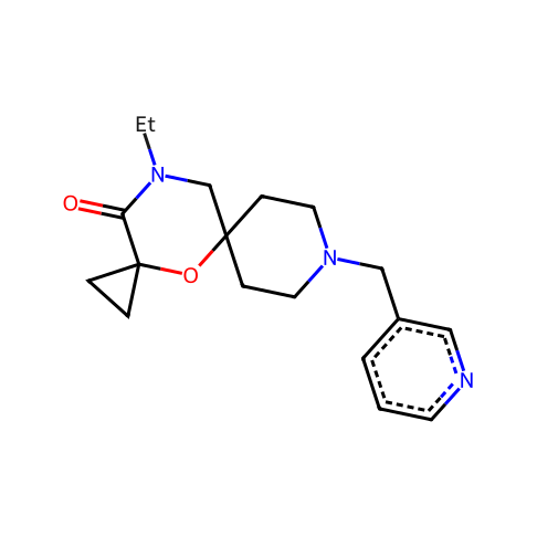 CCN1CC2(CCN(Cc3cccnc3)CC2)OC2(CC2)C1=O